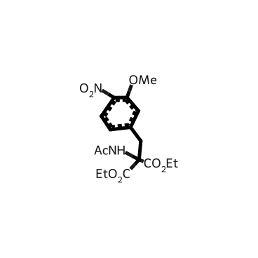 CCOC(=O)C(Cc1ccc([N+](=O)[O-])c(OC)c1)(NC(C)=O)C(=O)OCC